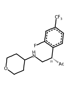 CC(=O)[C@H](CNC1CCOCC1)c1ccc(C(F)(F)F)cc1F